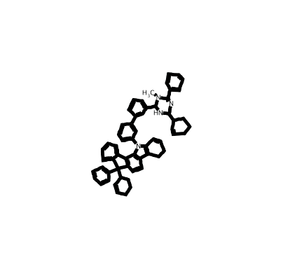 CN1C(c2ccccc2)=NC(C2C=CCCC2)NC1c1cccc(-c2cccc(-n3c4c(c5ccc6c(c53)-c3ccccc3C6(c3ccccc3)C3C=CCCC3)CCC=C4)c2)c1